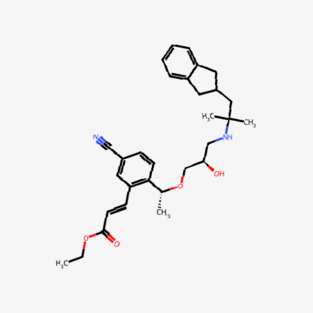 CCOC(=O)/C=C/c1cc(C#N)ccc1[C@@H](C)OC[C@H](O)CNC(C)(C)CC1Cc2ccccc2C1